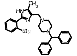 Cc1[nH]c(-c2ccccc2C(C)(C)C)nc1CN1CCN(C(c2ccccc2)c2ccccc2)CC1